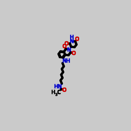 CC(=O)NCCCCCCCCNc1cccc2c1CC(=O)N(C1CCC(=O)NC1=O)C2=O